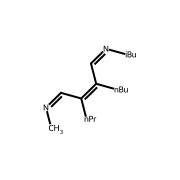 CCCCC(/C=N\C(C)CC)=C(/C=N\C)CCC